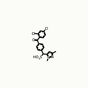 Cc1cc(C(c2ccc(C(=O)c3ccc(Cl)cc3Cl)cc2)S(=O)(=O)O)n(C)n1